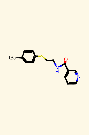 CC(C)(C)c1ccc(SCCNC(=O)c2cccnc2)cc1